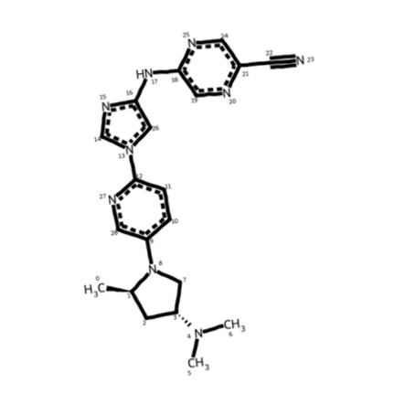 C[C@@H]1C[C@@H](N(C)C)CN1c1ccc(-n2cnc(Nc3cnc(C#N)cn3)c2)nc1